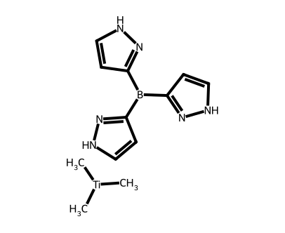 [CH3][Ti]([CH3])[CH3].c1cc(B(c2cc[nH]n2)c2cc[nH]n2)n[nH]1